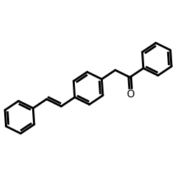 O=C(Cc1ccc(C=Cc2ccccc2)cc1)c1ccccc1